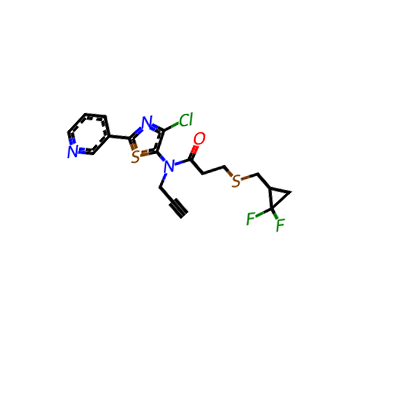 C#CCN(C(=O)CCSCC1CC1(F)F)c1sc(-c2cccnc2)nc1Cl